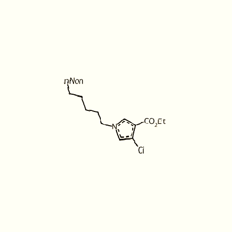 CCCCCCCCCCCCCCn1cc(Cl)c(C(=O)OCC)c1